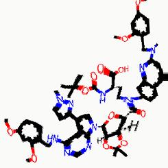 COc1ccc(CNc2ncnc3c2c(-c2ccn(C)n2)cn3[C@@H]2O[C@H](C(=O)N(CC[C@H](NC(=O)OC(C)(C)C)C(=O)O)c3ccc4ccc(N(C)Cc5ccc(OC)cc5OC)nc4c3)[C@H]3OC(C)(C)O[C@H]32)c(OC)c1